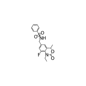 CCN1C(=O)OC(C)c2cc(CNS(=O)(=O)c3ccccc3)cc(F)c21